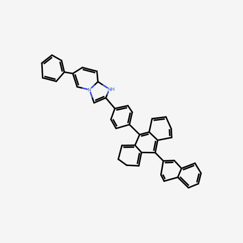 C1=CC2NC(c3ccc(-c4c5c(c(-c6ccc7ccccc7c6)c6ccccc46)=CCCC=5)cc3)=CN2C=C1c1ccccc1